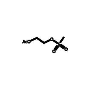 CC(=O)OCCOS(C)(=O)=O